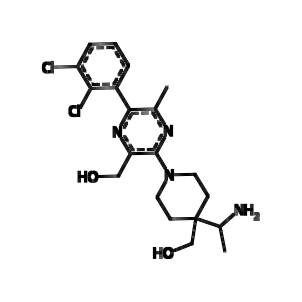 Cc1nc(N2CCC(CO)(C(C)N)CC2)c(CO)nc1-c1cccc(Cl)c1Cl